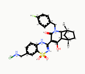 O=C1C(C2=NS(=O)(=O)c3cc(CNCl)ccc3N2)=C(O)C2C([C@@H]3CC[C@H]2C3)N1Cc1ccc(F)cc1